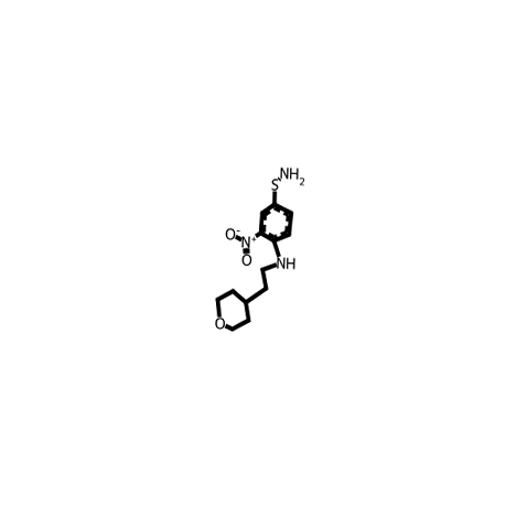 NSc1ccc(NCCC2CCOCC2)c([N+](=O)[O-])c1